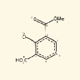 COC(=O)c1cncc(C(=O)O)c1Cl